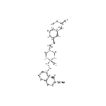 COc1ccc2cccc(CC[C@]3(O)CC[C@@H](NCc4ccc5c(n4)NC(=O)CS5)CC3)c2n1